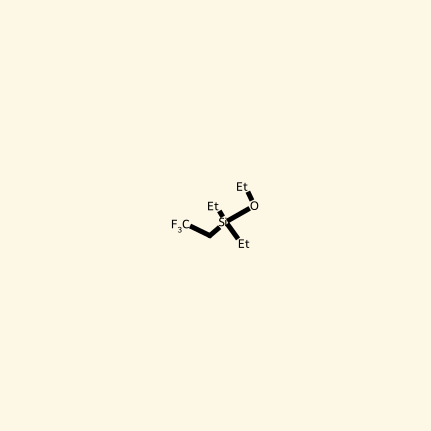 CCO[Si](CC)(CC)CC(F)(F)F